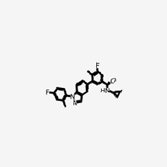 Cc1cc(F)ccc1-n1ncc2cc(-c3cc(C(=O)NC4CC4)cc(F)c3C)ccc21